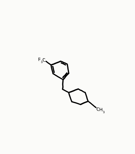 CC1CCC(Cc2cccc(C(F)(F)F)c2)CC1